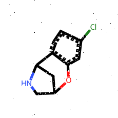 Clc1ccc2c(c1)OC1CNC2C1